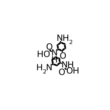 Nc1ccc(Oc2ccc(N)cc2NC(=O)O)c(NC(=O)O)c1